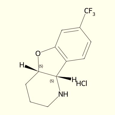 Cl.FC(F)(F)c1ccc2c(c1)O[C@H]1CCCN[C@@H]21